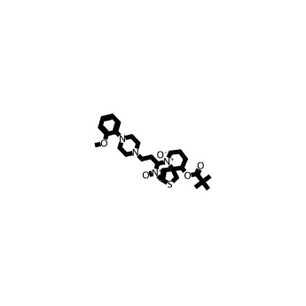 COc1ccccc1N1CCN(CCC2[N+](=O)C3=CC4(CS3)C(OC(=O)C(C)(C)C)CCC[N+]24[O-])CC1